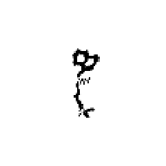 C[Si](C)(C)C#CC=CCNCc1cccc2ccccc12